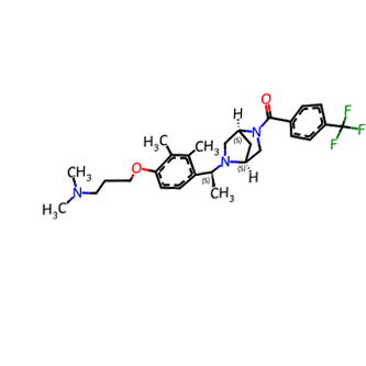 Cc1c(OCCCN(C)C)ccc([C@H](C)N2C[C@@H]3C[C@H]2CN3C(=O)c2ccc(C(F)(F)F)cc2)c1C